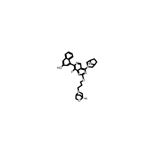 Oc1cc(-c2ncc3c(N4CC5CCC(C4)N5)nc(OCCCN4C[C@@H]5CC4CO5)nc3c2F)c2ccccc2c1